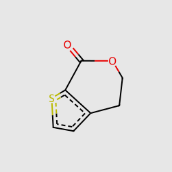 O=C1OCCc2ccsc21